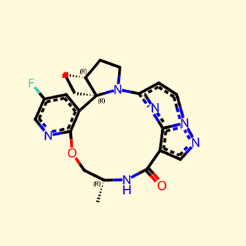 CC[C@@]12c3cc(F)cnc3OC[C@@H](C)NC(=O)c3cnn4ccc(nc34)N1CC[C@H]2C